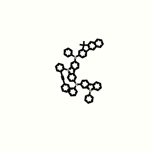 CC1(C)c2cc(N(c3ccccc3)c3ccc4c5cc(N(c6ccccc6)c6ccc7c8ccccc8n(-c8ccccc8)c7c6)ccc5n(-c5ccccc5C#Cc5ccccc5)c4c3)ccc2-c2cc3ccccc3cc21